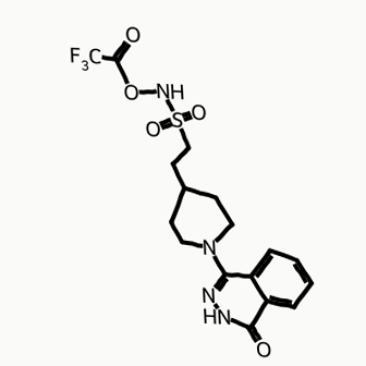 O=C(ONS(=O)(=O)CCC1CCN(c2n[nH]c(=O)c3ccccc23)CC1)C(F)(F)F